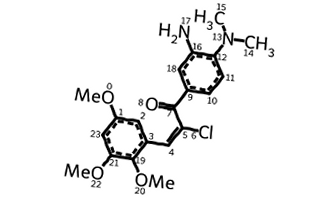 COc1cc(/C=C(/Cl)C(=O)c2ccc(N(C)C)c(N)c2)c(OC)c(OC)c1